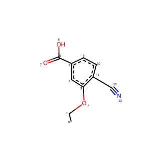 CCOc1cc(C(=O)O)ccc1C#N